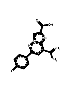 C=C(C)c1cc(-c2ccc(F)cc2)nn2cc(C(=O)O)nc12